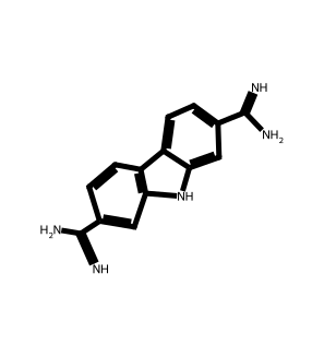 N=C(N)c1ccc2c(c1)[nH]c1cc(C(=N)N)ccc12